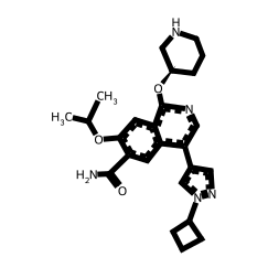 CC(C)Oc1cc2c(O[C@@H]3CCCNC3)ncc(-c3cnn(C4CCC4)c3)c2cc1C(N)=O